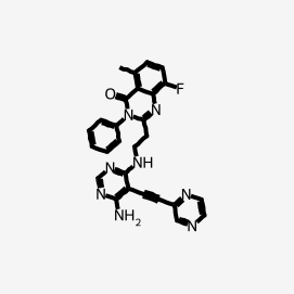 Cc1ccc(F)c2nc(CCNc3ncnc(N)c3C#Cc3cnccn3)n(-c3ccccc3)c(=O)c12